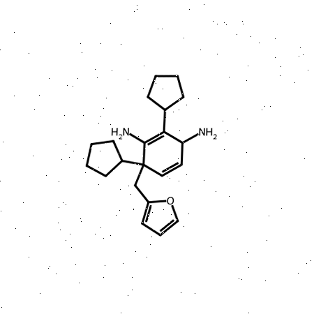 NC1=C(C2CCCC2)C(N)C=CC1(Cc1ccco1)C1CCCC1